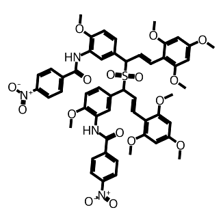 COc1cc(OC)c(C=CC(c2ccc(OC)c(NC(=O)c3ccc([N+](=O)[O-])cc3)c2)S(=O)(=O)C(C=Cc2c(OC)cc(OC)cc2OC)c2ccc(OC)c(NC(=O)c3ccc([N+](=O)[O-])cc3)c2)c(OC)c1